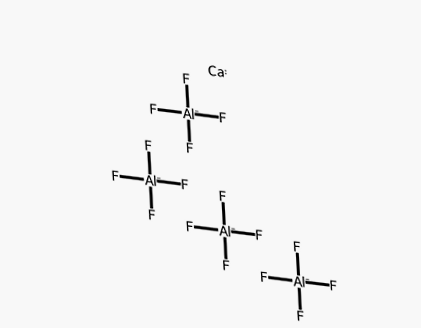 [Ca].[F][Al-]([F])([F])[F].[F][Al-]([F])([F])[F].[F][Al-]([F])([F])[F].[F][Al-]([F])([F])[F]